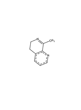 CC1=NCCc2cccnc21